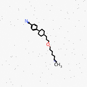 C/C=C/CCCCCOCCCC1CCC(c2ccc(C#N)cc2)CC1